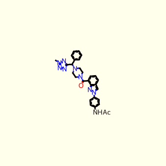 CC(=O)Nc1ccc(-n2cc3cccc(C(=O)N4CCN(C(c5ccccc5)c5nnn(C)n5)CC4)c3n2)cc1